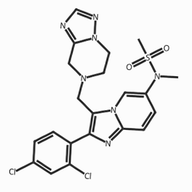 CN(c1ccc2nc(-c3ccc(Cl)cc3Cl)c(CN3CCn4ncnc4C3)n2c1)S(C)(=O)=O